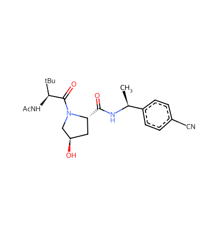 CC(=O)N[C@H](C(=O)N1C[C@H](O)C[C@H]1C(=O)N[C@@H](C)c1ccc(C#N)cc1)C(C)(C)C